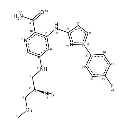 COC[C@H](N)CNc1cnc(C(N)=O)c(Nc2ccn(-c3ccc(F)cc3)n2)c1